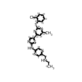 CCNCc1cnc(Nc2ncc(-c3cc(C)nc(Sc4ccccc4Cl)n3)s2)cn1